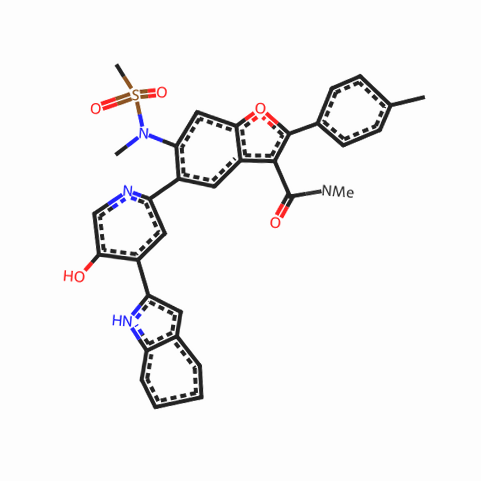 CNC(=O)c1c(-c2ccc(C)cc2)oc2cc(N(C)S(C)(=O)=O)c(-c3cc(-c4cc5ccccc5[nH]4)c(O)cn3)cc12